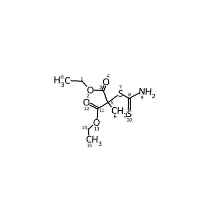 CCOC(=O)C(C)(SC(N)=S)C(=O)OCC